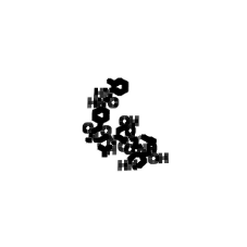 C#CC[C@@H](NC(=O)[C@H](CC(=O)O)NC(=O)[C@H](CC(C)C)N(C)C(=O)Cc1ccc(NC(=O)Nc2ccccc2C)cc1)C(=O)NC1(C(=O)O)CCNCC1